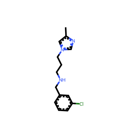 Cc1cn(CCCNCc2cccc(Cl)c2)cn1